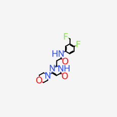 O=C(Cc1nc(N2CCOCC2)cc(=O)[nH]1)Nc1ccc(F)c(CF)c1